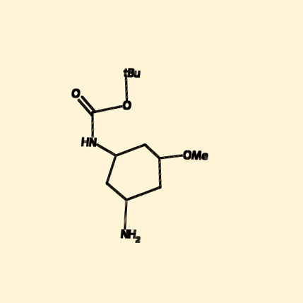 COC1CC(N)CC(NC(=O)OC(C)(C)C)C1